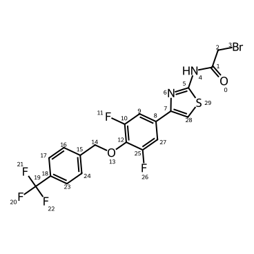 O=C(CBr)Nc1nc(-c2cc(F)c(OCc3ccc(C(F)(F)F)cc3)c(F)c2)cs1